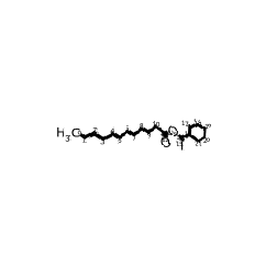 CCCCCCCCCCCC(=O)OC(I)C1CCCCC1